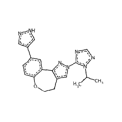 CC(C)n1ncnc1-n1cc2c(n1)-c1cc(-c3cn[nH]c3)ccc1OCC2